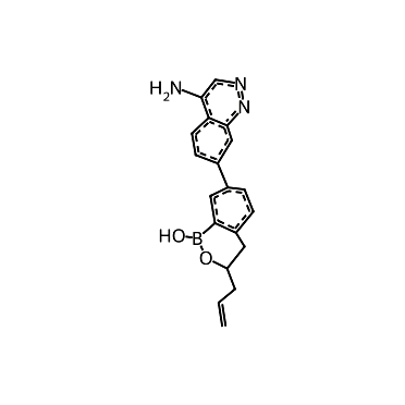 C=CCC1Cc2ccc(-c3ccc4c(N)cnnc4c3)cc2B(O)O1